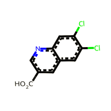 O=C(O)c1cnc2cc(Cl)c(Cl)cc2c1